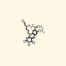 Cc1cc2nc3c(=O)[nH]c(=O)nc-3n(CCCCCC=O)c2cc1N(C)C